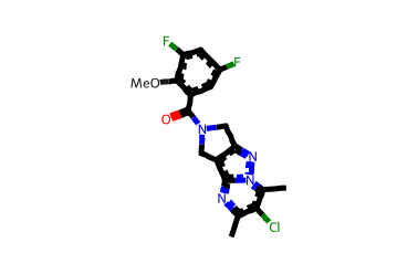 COc1c(F)cc(F)cc1C(=O)N1Cc2nn3c(C)c(Cl)c(C)nc3c2C1